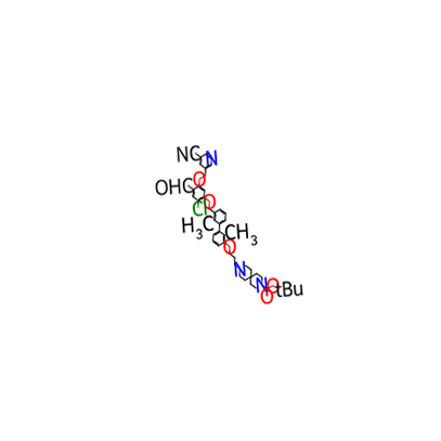 Cc1c(COc2cc(OCc3cncc(C#N)c3)c(C=O)cc2Cl)cccc1-c1cccc(OCCCN2CCC3(CC2)CCN(C(=O)OC(C)(C)C)CC3)c1C